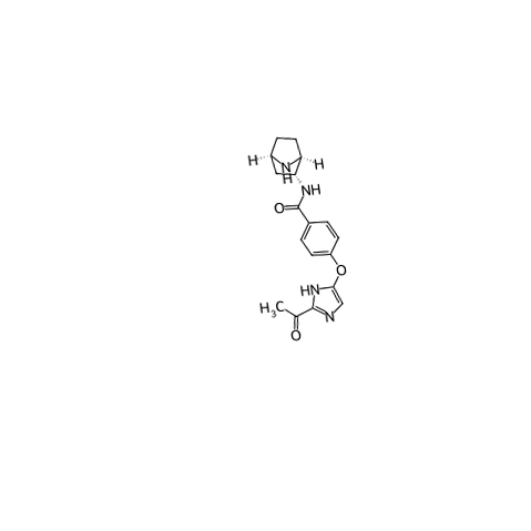 CC(=O)c1ncc(Oc2ccc(C(=O)N[C@@H]3C[C@H]4CC[C@@H]3N4)cc2)[nH]1